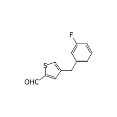 O=Cc1cc(Cc2cccc(F)c2)cs1